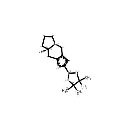 CC1(C)OB(c2cc3c(s2)C[C@@H]2CCCN2C3)OC1(C)C